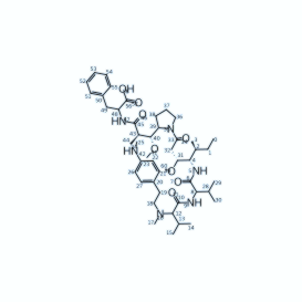 CC[C@H](C)[C@H](NC(=O)C(NC(=O)C(C(C)C)N(C)CCc1ccc(NC)cc1)C(C)C)[C@@H](CC(=O)N1CCCC1[C@H](OC)[C@@H](C)C(=O)NC(Cc1ccccc1)C(=O)O)OC